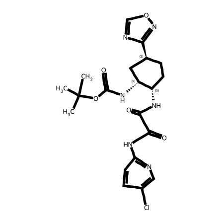 CC(C)(C)OC(=O)N[C@@H]1C[C@@H](c2ncon2)CC[C@@H]1NC(=O)C(=O)Nc1ccc(Cl)cn1